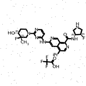 CC(C)c1cnc(C(=O)N[C@@H]2CNC[C@H]2F)c2cnc(Nc3ccnc(N4CC[C@@H](O)[C@@](C)(F)C4)n3)cc12.O=C(O)C(F)(F)F